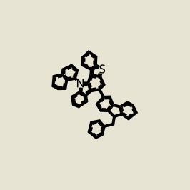 c1ccc(CC2c3ccccc3-c3cc(-c4cc5sc6ccccc6c5c5c4c4ccccc4n5-c4cccc5ccccc45)ccc32)cc1